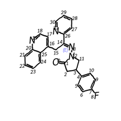 O=C1CC(c2ccc(F)cc2)CN1/N=C(\Cc1ccnc2ccccc12)c1ccccn1